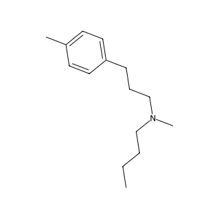 CCCCN(C)CCCc1ccc(C)cc1